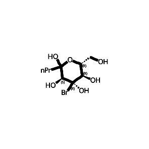 CCCC1(O)O[C@H](CO)[C@@H](O)[C@@](O)(Br)[C@H]1O